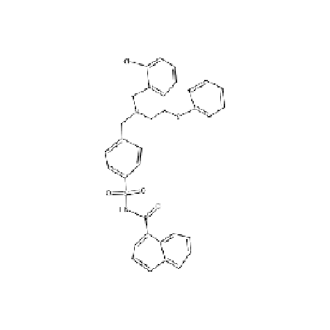 O=C(NS(=O)(=O)c1ccc(CN(CCSc2ccccc2)Cc2ccccc2Cl)cc1)c1cccc2ccccc12